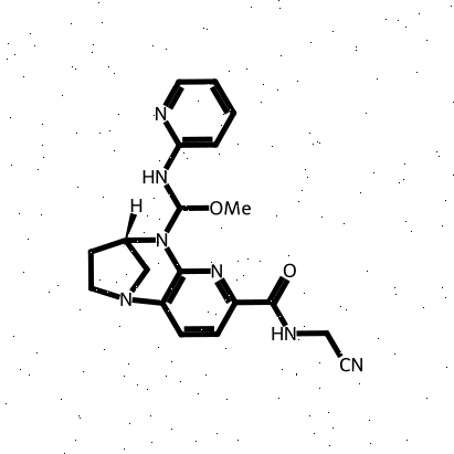 COC(Nc1ccccn1)N1c2nc(C(=O)NCC#N)ccc2N2CC[C@H]1C2